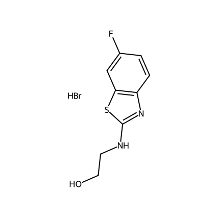 Br.OCCNc1nc2ccc(F)cc2s1